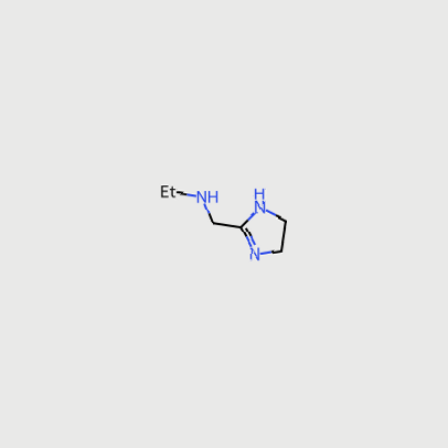 CCNCC1=NCCN1